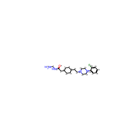 NCNC(=O)CC1CCC(CCN2CCN(c3ccccc3F)CC2)CC1